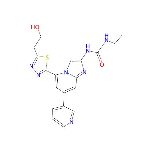 CCNC(=O)Nc1cn2c(-c3nnc(CCO)s3)cc(-c3cccnc3)cc2n1